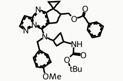 COc1ccc(CN(c2c3c(nc4ccnn24)C2(CC2)C(COC(=O)c2ccccc2)C3)C2CC(NC(=O)OC(C)(C)C)C2)cc1